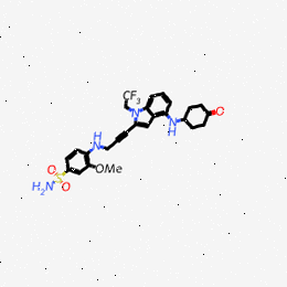 COc1cc(S(N)(=O)=O)ccc1NCC#Cc1cc2c(NC3CCC(=O)CC3)cccc2n1CC(F)(F)F